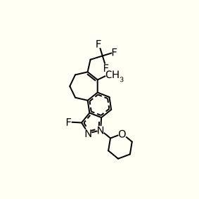 CC1=C(CC(F)(F)F)CCCc2c1ccc1c2c(F)nn1C1CCCCO1